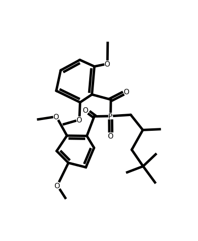 COc1ccc(C(=O)P(=O)(CC(C)CC(C)(C)C)C(=O)c2c(OC)cccc2OC)c(OC)c1